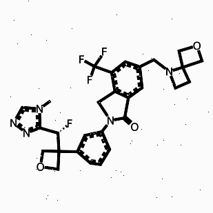 Cn1cnnc1[C@H](F)C1(c2cccc(N3Cc4c(cc(CN5CCC56COC6)cc4C(F)(F)F)C3=O)c2)COC1